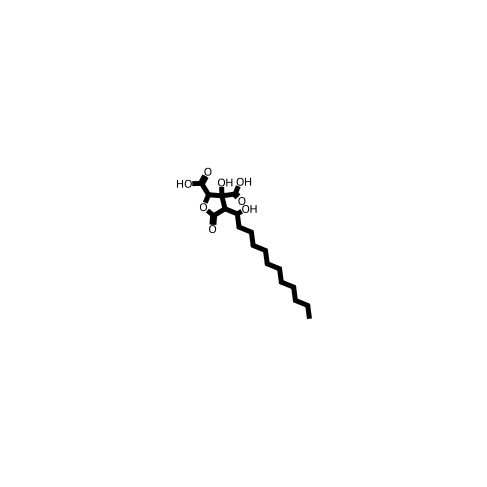 CCCCCCCCCCCC(O)C1C(=O)OC(C(=O)O)C1(O)C(=O)O